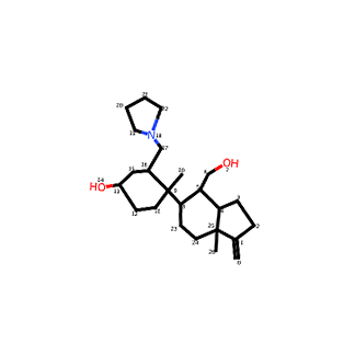 C=C1CCC2C(CO)C(C3(C)CCC(O)CC3CN3CCCC3)CCC12C